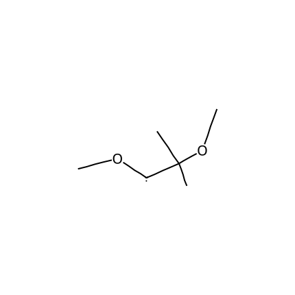 CO[CH]C(C)(C)OC